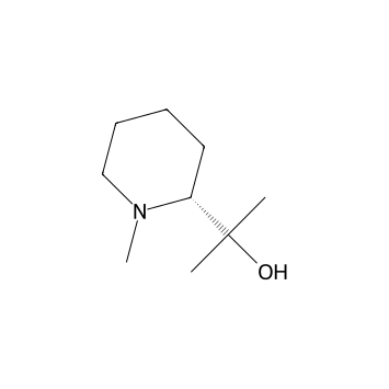 CN1CCCC[C@@H]1C(C)(C)O